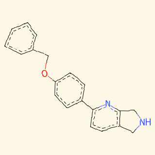 c1ccc(COc2ccc(-c3ccc4c(n3)CNC4)cc2)cc1